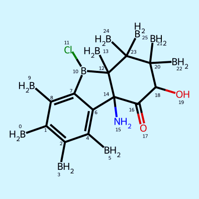 Bc1c(B)c(B)c2c(c1B)B(Cl)C1(B)C2(N)C(=O)C(O)C(B)(B)C1(B)B